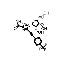 NC(=O)c1nc(C#Cc2ccc(C(F)(F)F)cc2)n([C@@H]2O[C@H](COO)[C@@H](OO)[C@H]2OO)n1